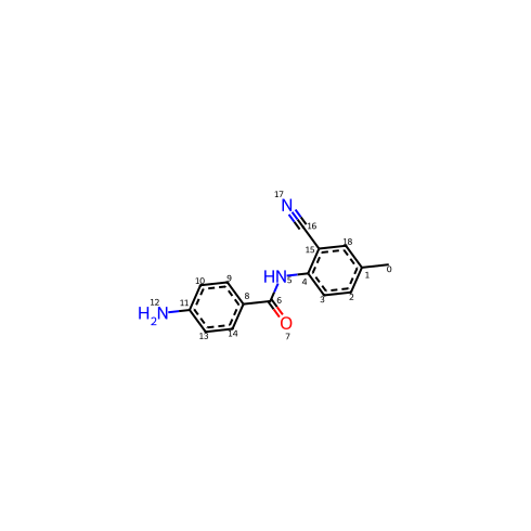 Cc1ccc(NC(=O)c2ccc(N)cc2)c(C#N)c1